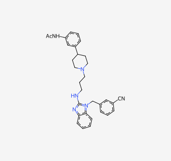 CC(=O)Nc1cccc(C2CCN(CCCNc3nc4ccccc4n3Cc3cccc(C#N)c3)CC2)c1